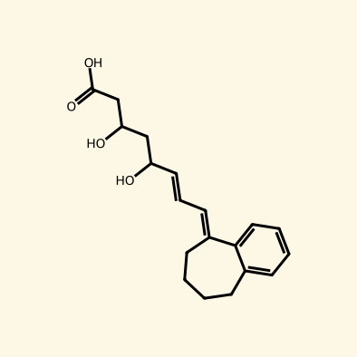 O=C(O)CC(O)CC(O)/C=C/C=C1\CCCCc2ccccc21